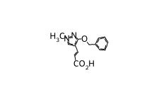 Cn1cc(C=CC(=O)O)c(OCc2ccccc2)n1